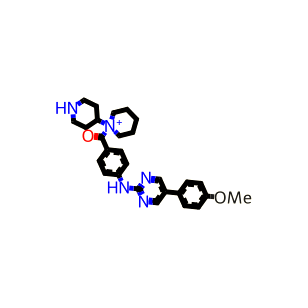 COc1ccc(-c2cnc(Nc3ccc(C(=O)[N+]4(C5CCNCC5)CCCCC4)cc3)nc2)cc1